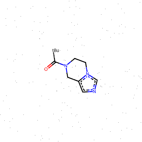 CC(C)(C)C(=O)N1CCn2cncc2C1